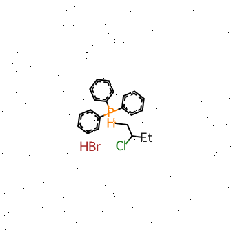 Br.CCC(Cl)CC[PH](c1ccccc1)(c1ccccc1)c1ccccc1